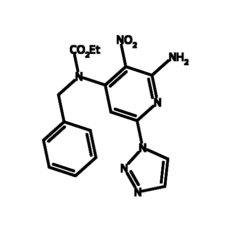 CCOC(=O)N(Cc1ccccc1)c1cc(-n2ccnn2)nc(N)c1[N+](=O)[O-]